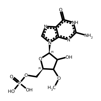 COC1C(O)[C@H](n2cnc3c(=O)[nH]c(N)nc32)O[C@@H]1COP(=O)(O)O